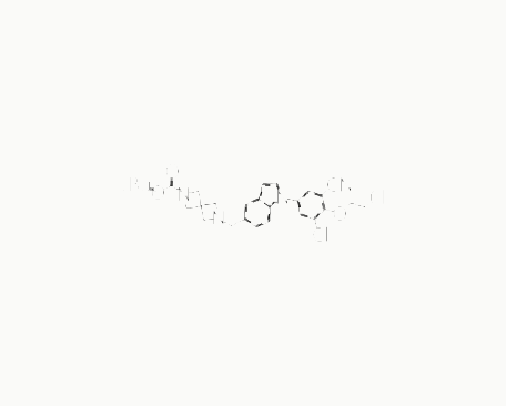 CC(C)(C)OC(=O)N1CC2(CN(Cc3ccc4c(ccn4-c4cc(Cl)c(OCCCl)c(C#N)c4)c3)C2)C1